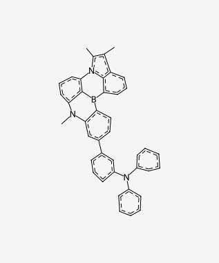 Cc1c(C)n2c3c(cccc13)B1c3ccc(-c4cccc(N(c5ccccc5)c5ccccc5)c4)cc3N(C)c3cccc-2c31